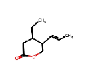 C/C=C/C1COC(=O)CC1CC